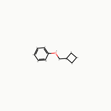 [c]1ccc(OCC2CCC2)cc1